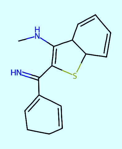 CNC1=C(C(=N)C2=CCCC=C2)SC2C=CC=CC12